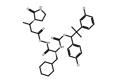 CC(CC(=O)ONC(=O)[C@H](CC1CCCCC1)NC(=O)OC(c1ccc(Cl)cc1)C(C)(C)c1cccc(Cl)c1)[C@@H]1CCNC1=O